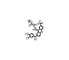 CC(C)(C)OC(=O)NCCNc1c2cc(Nc3ccc(Cl)c(Cl)c3)ccc2nc2ccc(C(F)(F)F)cc12